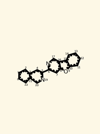 c1ccc2cc(-c3cc4oc5ccccc5c4cn3)ncc2c1